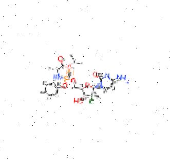 CC(C)OC(=O)[C@@H](C)NP(=P)(OC[C@H]1O[C@@H](n2ccc(N)nc2=O)[C@](C)(Cl)[C@@H]1O)Oc1ccccc1